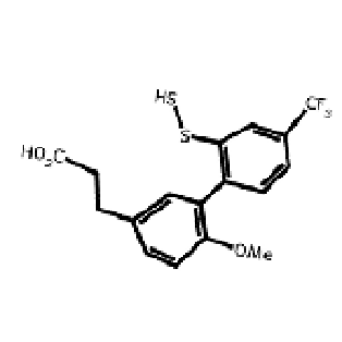 COc1ccc(CCC(=O)O)cc1-c1ccc(C(F)(F)F)cc1SS